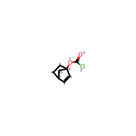 O=C(Cl)OC12C=CC(CC1)C2